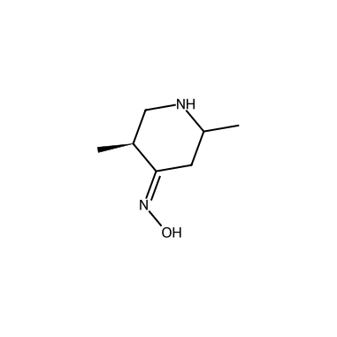 CC1CC(=NO)[C@@H](C)CN1